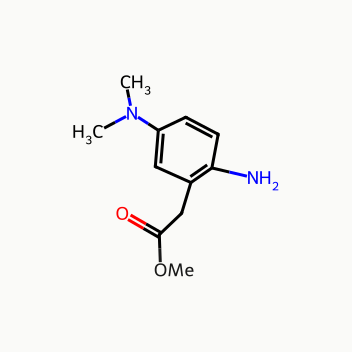 COC(=O)Cc1cc(N(C)C)ccc1N